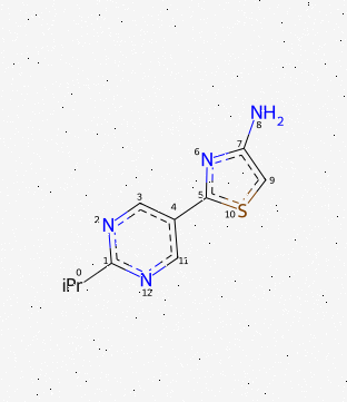 CC(C)c1ncc(-c2nc(N)cs2)cn1